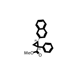 COC(=O)[C@@]1(c2ccccc2)C[C@@H]1c1ccc2ccccc2c1